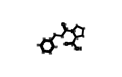 O=C(O)[C@@H]1CCCN1C(=O)CCc1ccccc1